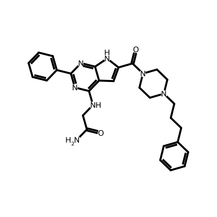 NC(=O)CNc1nc(-c2ccccc2)nc2[nH]c(C(=O)N3CCN(CCCc4ccccc4)CC3)cc12